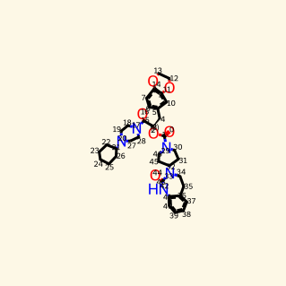 O=C(O[C@H](Cc1ccc2c(c1)OCCO2)C(=O)N1CCN(C2CCCCC2)CC1)N1CCC(N2CCc3ccccc3NC2=O)CC1